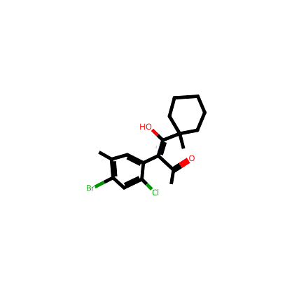 CC(=O)/C(=C(/O)C1(C)CCCCC1)c1cc(C)c(Br)cc1Cl